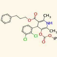 CC1=C(OC(=O)OC(C)C)C(c2cccc(Cl)c2Cl)C(C(=O)OCCCc2ccccc2)=C(C)N1